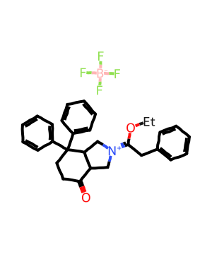 CCOC(Cc1ccccc1)=[N+]1CC2C(=O)CCC(c3ccccc3)(c3ccccc3)C2C1.F[B-](F)(F)F